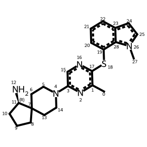 Cc1nc(N2CCC3(CCC[C@H]3N)CC2)[c]nc1Sc1cccc2ccn(C)c12